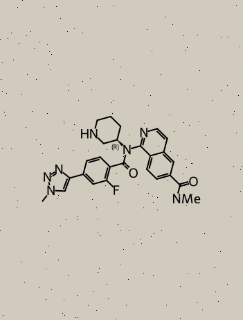 CNC(=O)c1ccc2c(N(C(=O)c3ccc(-c4cn(C)nn4)cc3F)[C@@H]3CCCNC3)nccc2c1